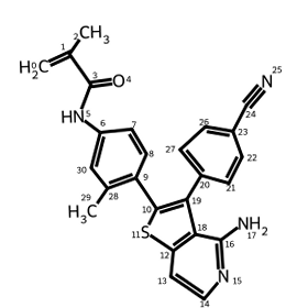 C=C(C)C(=O)Nc1ccc(-c2sc3ccnc(N)c3c2-c2ccc(C#N)cc2)c(C)c1